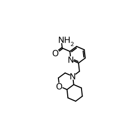 NC(=O)c1cccc(CN2CCOC3CCCCC32)n1